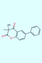 CCCC1(C)C(=O)Oc2ccc(-c3ccccc3)cc2C1=O